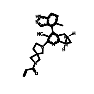 C=CC(=O)N1CC2(CCN(c3nc4c(c(-c5c(C)ccc6[nH]ncc56)c3C#N)C[C@H]3C[C@@H]43)C2)C1